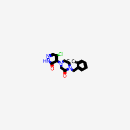 O=C1CN(c2c(Cl)cn[nH]c2=O)CCN1Cc1ccccc1C(F)(F)F